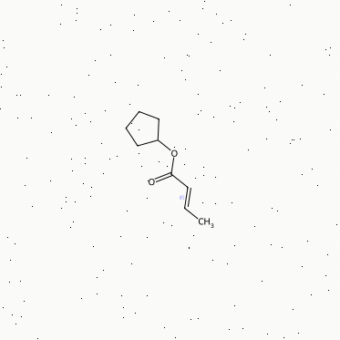 C/C=C/C(=O)OC1CCCC1